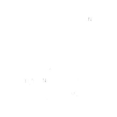 BN1CCOCC(c2ccc(C#N)cc2)C1